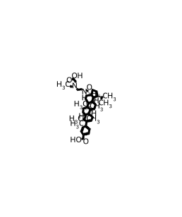 CCN(CCNC(=O)[C@]12CC[C@@H](C(C)C)[C@@H]1[C@H]1CC[C@@H]3[C@@]4(C)CC=C(c5ccc(C(=O)O)cc5)C(C)(C)[C@@H]4CC[C@@]3(C)[C@]1(C)CC2)CC(=O)O